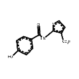 O=C(Nc1sccc1C(=O)O)c1ccc(O)cc1